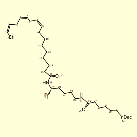 CC/C=C\C/C=C\C/C=C\CCCCCCCC(=O)N[C@@H](CCCCNC(=O)CCCCCCCCCCCCCCC)C(C)C